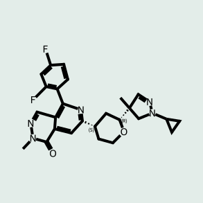 Cn1ncc2c(-c3ccc(F)cc3F)nc([C@H]3CCO[C@@H](C4(C)C=NN(C5CC5)C4)C3)cc2c1=O